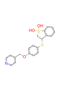 OS1(O)CC(Sc2ccc(OCc3ccncc3)cc2)c2ccccc21